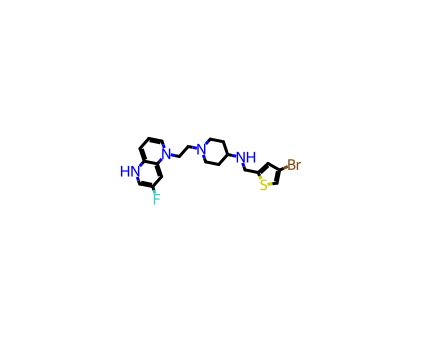 FC1=CNC2=CC=CN(CCN3CCC(NCc4cc(Br)cs4)CC3)C2=C1